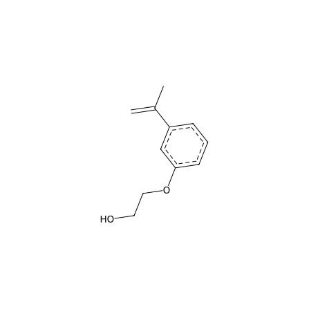 C=C(C)c1cccc(OCCO)c1